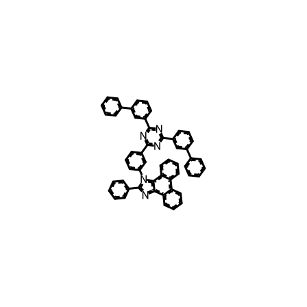 c1ccc(-c2cccc(-c3nc(-c4cccc(-c5ccccc5)c4)nc(-c4cccc(-n5c(-c6ccccc6)nc6c7ccccc7c7ccccc7c65)c4)n3)c2)cc1